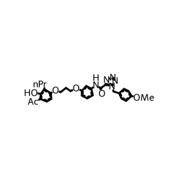 CCCc1c(OCCCOc2cccc(NC(=O)c3nnnn3Cc3ccc(OC)cc3)c2)ccc(C(C)=O)c1O